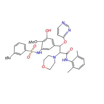 COc1c(O)cc(C(Oc2ccncn2)C(C(=O)Nc2c(C)cccc2C)N2CCOCC2)cc1NS(=O)(=O)c1cccc(C(C)(C)C)c1